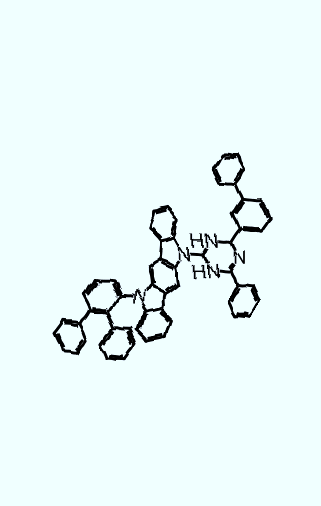 c1ccc(C2=NC(c3cccc(-c4ccccc4)c3)NC(n3c4ccccc4c4cc5c(cc43)c3ccccc3n5-c3cccc(-c4ccccc4)c3-c3ccccc3)N2)cc1